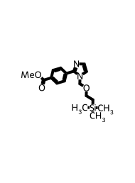 COC(=O)c1ccc(-c2nccn2COCC[Si](C)(C)C)cc1